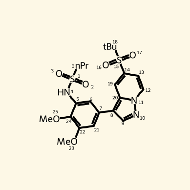 CCCS(=O)(=O)Nc1cc(-c2cnn3ccc(S(=O)(=O)C(C)(C)C)cc23)cc(OC)c1OC